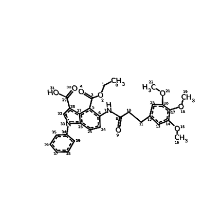 CCOC(=O)c1c(NC(=O)CCc2cc(OC)c(OC)c(OC)c2)ccc2c1c(C(=O)O)cn2-c1ccccc1